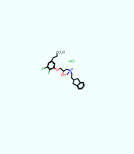 C[N+](C)(CCC1Cc2ccccc2C1)C[C@@H](O)COc1cc(CCC(=O)O)cc(F)c1F.Cl